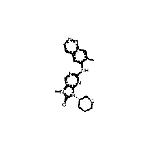 Cc1cc2nnccc2cc1Nc1ncc2c(n1)n([C@H]1CCCOC1)c(=O)n2C